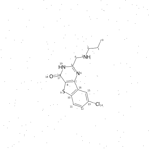 CCCNCc1nc2c(sc3ccc(Cl)cc32)c(=O)[nH]1